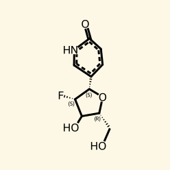 O=c1ccc([C@@H]2O[C@H](CO)C(O)[C@@H]2F)c[nH]1